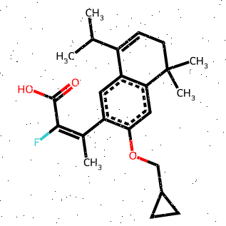 C/C(=C(\F)C(=O)O)c1cc2c(cc1OCC1CC1)C(C)(C)CC=C2C(C)C